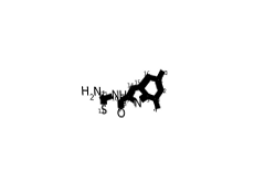 CC1=CC(C)C2=NC(C(=O)NC(N)=S)=CC2=C1